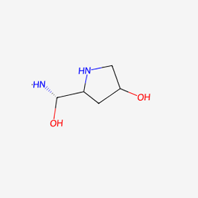 [NH][C@@H](O)C1CC(O)CN1